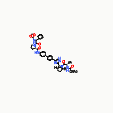 COC(=O)N[C@H](C(=O)N1[C@@H]2CC[C@@H](C2)[C@H]1c1nc(-c2ccc(-c3ccc(NC(=O)[C@@H]4CCCN4C(=O)[C@H](NC4OCO4)c4ccccc4)cc3)cc2)c[nH]1)C(C)C